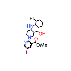 CCC1CCCCC1NC1CCN(c2ncc(I)cc2C(=O)OC)CC1CO